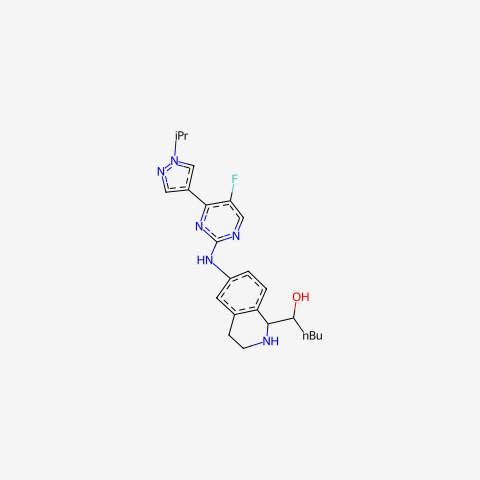 CCCCC(O)C1NCCc2cc(Nc3ncc(F)c(-c4cnn(C(C)C)c4)n3)ccc21